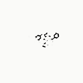 CC[C@@H](NC(=O)N1C(=O)[C@H](Cc2cc(C)nc(N)c2)[C@H]1C(=O)N(C)c1nccn1C)c1cccc(Cl)c1